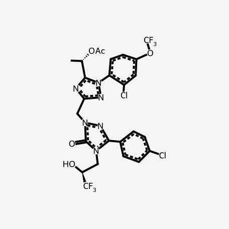 CC(=O)O[C@@H](C)c1nc(Cn2nc(-c3ccc(Cl)cc3)n(C[C@H](O)C(F)(F)F)c2=O)nn1-c1ccc(OC(F)(F)F)cc1Cl